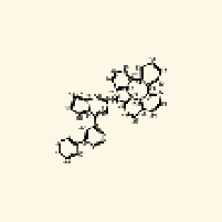 c1ccc(-c2cccc(-c3nc(-n4c5cccc6c5c5c7c(cccc7ccc54)-c4ccccc4-6)nc4ccccc34)c2)cc1